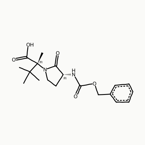 CC(C)(C)[C@](C)(C(=O)O)N1CC[C@@H](NC(=O)OCc2ccccc2)C1=O